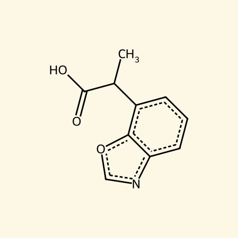 CC(C(=O)O)c1cccc2ncoc12